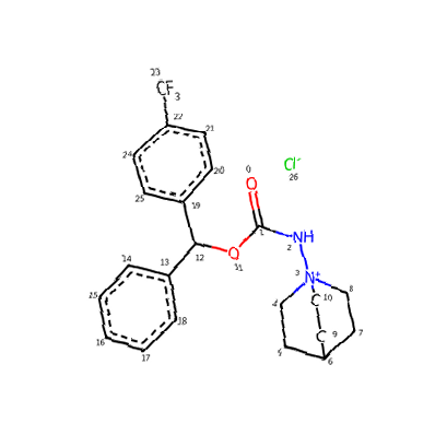 O=C(N[N+]12CCC(CC1)CC2)OC(c1ccccc1)c1ccc(C(F)(F)F)cc1.[Cl-]